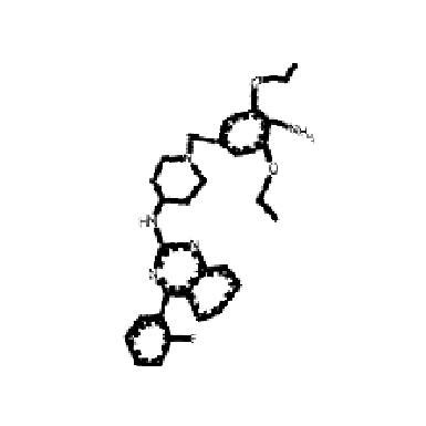 CCOc1cc(CN2CCC(Nc3nc(-c4ccccc4F)c4ccccc4n3)CC2)cc(OCC)c1N